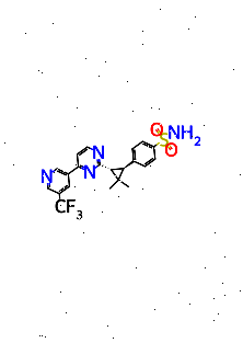 CC1(C)[C@H](c2ccc(S(N)(=O)=O)cc2)[C@H]1c1nccc(-c2cncc(C(F)(F)F)c2)n1